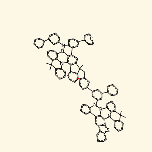 CC1(C)c2ccccc2N2c3c(cccc31)B1c3c(cc4c(c32)-c2ccccc2C4(C)Cc2cccc(-c3cc(-c4ccccc4)cc(N4B5c6cccc7c6N(c6ccccc6C7(C)C)c6c5c(cc5c6sc6ccccc65)-c5ccccc54)c3)c2)-c2cc(-c3ccccc3)ccc2N1c1cccc(-c2ccccc2)c1